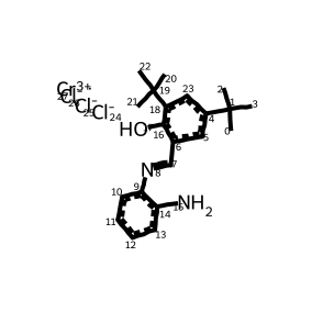 CC(C)(C)c1cc(C=Nc2ccccc2N)c(O)c(C(C)(C)C)c1.[Cl-].[Cl-].[Cl-].[Cr+3]